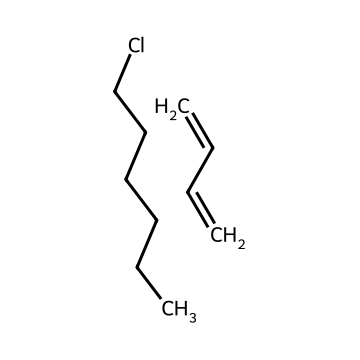 C=CC=C.CCCCCCCl